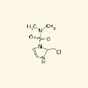 CN(C)S(=O)(=O)N1C=CNC1CCl